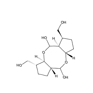 OC[C@H]1CC[C@H]2C(O)O[C@H]3CC[C@H](CO)[C@@H]3C(O)O[C@H]12